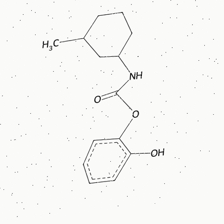 CC1CCCC(NC(=O)Oc2ccccc2O)C1